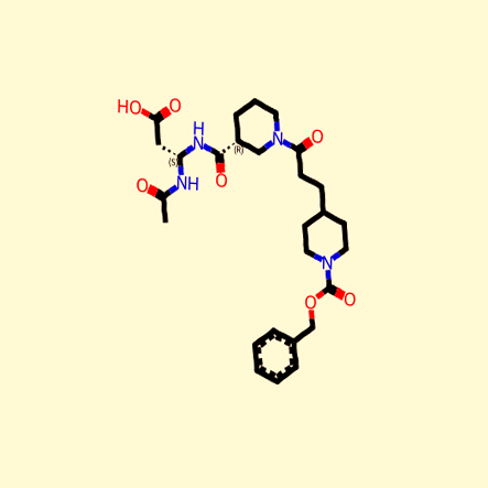 CC(=O)N[C@H](CC(=O)O)NC(=O)[C@@H]1CCCN(C(=O)CCC2CCN(C(=O)OCc3ccccc3)CC2)C1